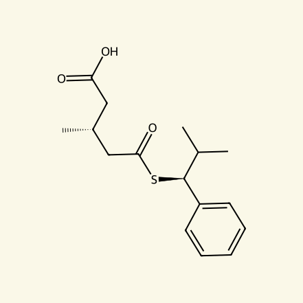 CC(C)[C@H](SC(=O)C[C@H](C)CC(=O)O)c1ccccc1